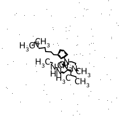 C=C(/N=C\C1=C(C(C)CC)N(C)CCN(c2cccc(CCCCCN(C)C)c2)C1=O)NCC